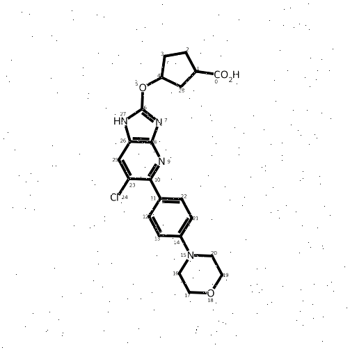 O=C(O)C1CCC(Oc2nc3nc(-c4ccc(N5CCOCC5)cc4)c(Cl)cc3[nH]2)C1